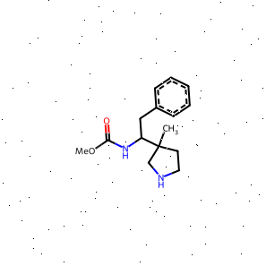 COC(=O)NC(Cc1ccccc1)C1(C)CCNC1